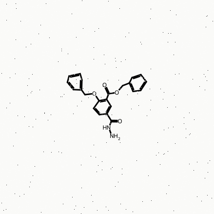 NNC(=O)c1ccc(OCc2ccccc2)c(C(=O)OCc2ccccc2)c1